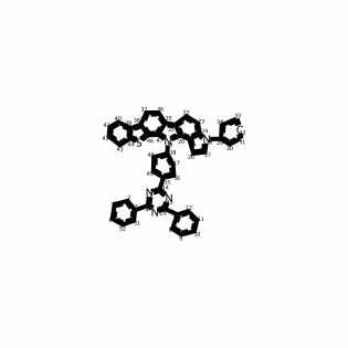 c1ccc(-c2nc(-c3ccccc3)nc(-c3ccc(-n4c5c(ccc6c5ccn6-c5ccccc5)c5ccc6c7ccccc7sc6c54)cc3)n2)cc1